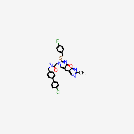 CN(Cc1ccc(-c2ccc(Cl)cc2)cc1)C(=O)Cn1cc(Cc2cnc(C(F)(F)F)nc2)c(=O)nc1SCc1ccc(F)cc1